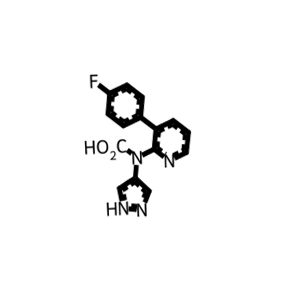 O=C(O)N(c1cn[nH]c1)c1ncccc1-c1ccc(F)cc1